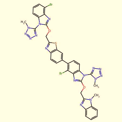 Cn1nnnc1-n1c(OCc2nc3ccc(-c4ccc5c(nc(OCc6nc7ccccc7n6C)n5-c5nnnn5C)c4Br)cc3s2)nc2c(Br)cccc21